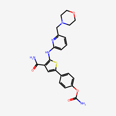 NC(=O)Oc1ccc(-c2cc(C(N)=O)c(Nc3cccc(CN4CCOCC4)n3)s2)cc1